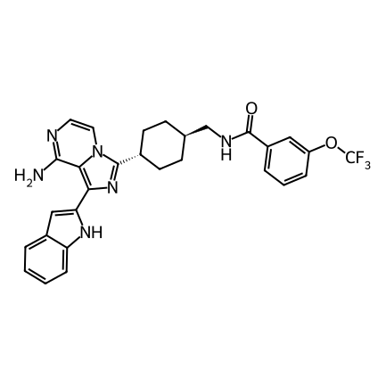 Nc1nccn2c1c(-c1cc3ccccc3[nH]1)nc2[C@H]1CC[C@H](CNC(=O)c2cccc(OC(F)(F)F)c2)CC1